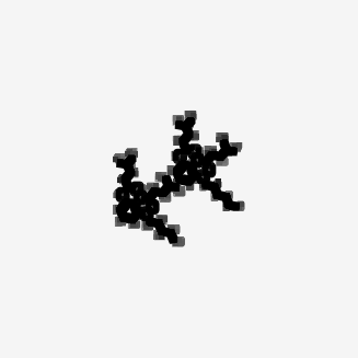 CCCCCCOc1cccc(OC(=O)CCC(C)C)c1OC(=O)CCC(C)C.CCCCCOc1cccc(OC(=O)CCC(C)C)c1OC(=O)CCC(C)C